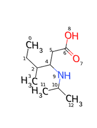 CCC(C)C(CC(=O)O)NC(C)C